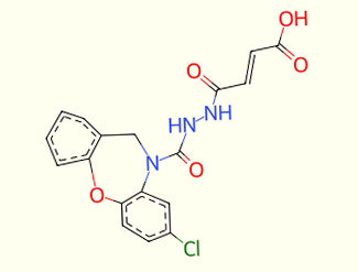 O=C(O)C=CC(=O)NNC(=O)N1Cc2ccccc2Oc2ccc(Cl)cc21